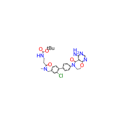 CN(Cc1ccc(-c2ccc(N3CCOc4ncnc(N)c4C3=O)cc2)c(Cl)c1)C(=O)CCNC(=O)OC(C)(C)C